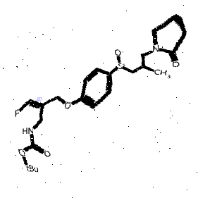 CC(CN1CCCC1=O)C[S+]([O-])c1ccc(OC/C(=C/F)CNC(=O)OC(C)(C)C)cc1